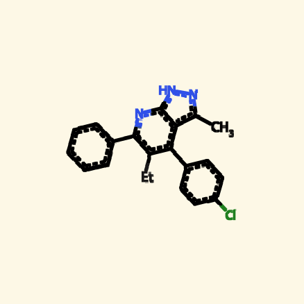 CCc1c(-c2ccccc2)nc2[nH]nc(C)c2c1-c1ccc(Cl)cc1